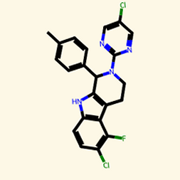 Cc1ccc(C2c3[nH]c4ccc(Cl)c(F)c4c3CCN2c2ncc(Cl)cn2)cc1